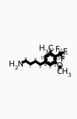 COc1cc(CCCCN)cc(C)c1C(F)(F)F